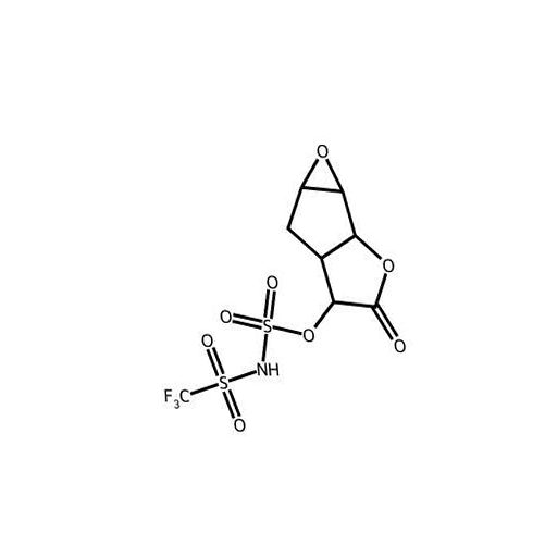 O=C1OC2C(CC3OC32)C1OS(=O)(=O)NS(=O)(=O)C(F)(F)F